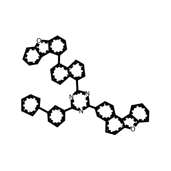 c1ccc(-c2cccc(-c3nc(-c4ccc5c(ccc6oc7ccccc7c65)c4)nc(-c4cccc5c(-c6cccc7oc8ccccc8c67)cccc45)n3)c2)cc1